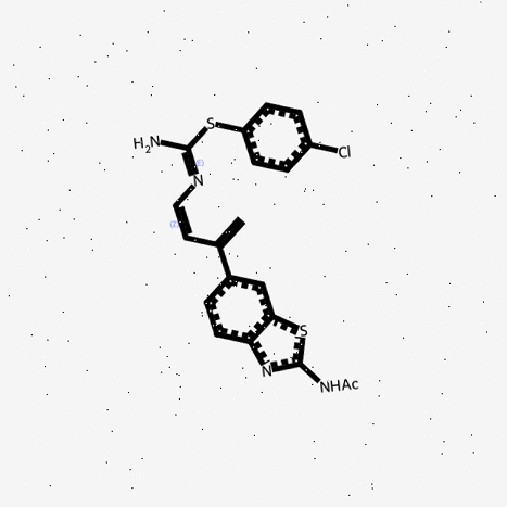 C=C(/C=C\N=C(/N)Sc1ccc(Cl)cc1)c1ccc2nc(NC(C)=O)sc2c1